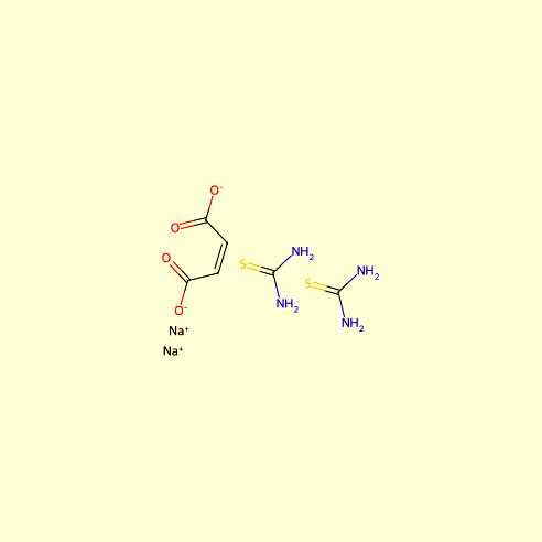 NC(N)=S.NC(N)=S.O=C([O-])/C=C\C(=O)[O-].[Na+].[Na+]